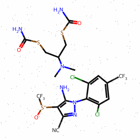 CN(C)C(CSC(N)=O)CSC(N)=O.N#Cc1nn(-c2c(Cl)cc(C(F)(F)F)cc2Cl)c(N)c1[S+]([O-])C(F)(F)F